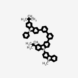 Cn1c2ccccc2c2cc(-n3c4ccc(-c5cccc(-c6cccc(-c7ccc8c(c7)c7cc(C(C)(C)C)ccc7n8-c7ccccc7)c6)c5)cc4c4cc(C(C)(C)C)ccc43)ccc21